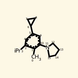 Cc1c(C(C)C)cc(C2CC2)cc1N1CCCC1